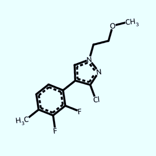 COCCn1cc(-c2ccc(C)c(F)c2F)c(Cl)n1